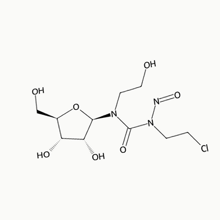 O=NN(CCCl)C(=O)N(CCO)[C@@H]1O[C@H](CO)[C@@H](O)[C@H]1O